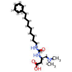 CN(C)C[C@@H](CC(=O)O)NC(=O)NCCCCCCCCCc1ccccc1